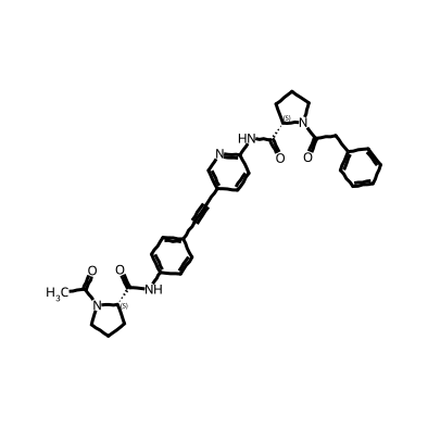 CC(=O)N1CCC[C@H]1C(=O)Nc1ccc(C#Cc2ccc(NC(=O)[C@@H]3CCCN3C(=O)Cc3ccccc3)nc2)cc1